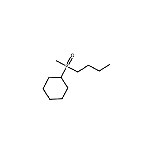 CCCCP(C)(=O)C1CCCCC1